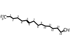 C[CH]CCCC=CCCCCCCCCC